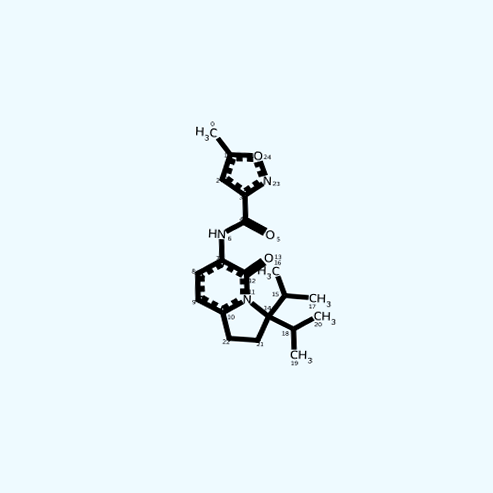 Cc1cc(C(=O)Nc2ccc3n(c2=O)C(C(C)C)(C(C)C)CC3)no1